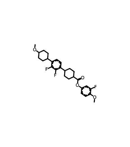 COc1ccc(OC(=O)C2CCC(c3ccc(C4CCC(OC)CC4)c(F)c3F)CC2)cc1F